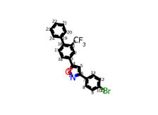 FC(F)(F)c1cc(-c2cc(-c3ccc(Br)cc3)no2)ccc1-c1ccccc1